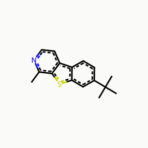 Cc1nccc2c1sc1cc(C(C)(C)C)ccc12